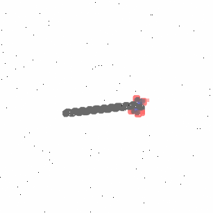 CCCCCC=CCC=CCC=CCC=CCCCCC([C]=O)([N+](=O)[O-])[N+](=O)[O-]